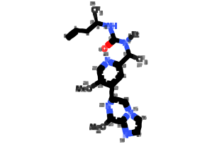 C=CC[C@H](NC(=O)N(CC)C(c1cc(-c2cn3ccnc3c(OC)n2)c(OC)cn1)C(F)(F)F)C(F)(F)F